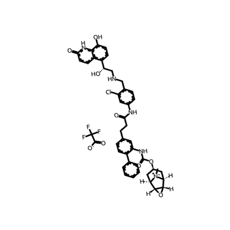 C[N+]1(C)[C@@H]2C[C@@H](OC(=O)Nc3cc(CCC(=O)Nc4ccc(CNC[C@H](O)c5ccc(O)c6[nH]c(=O)ccc56)c(Cl)c4)ccc3-c3ccccc3)C[C@H]1[C@@H]1O[C@@H]12.O=C([O-])C(F)(F)F